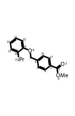 COC(=O)c1ccc(COc2ccccc2C(C)C)cc1